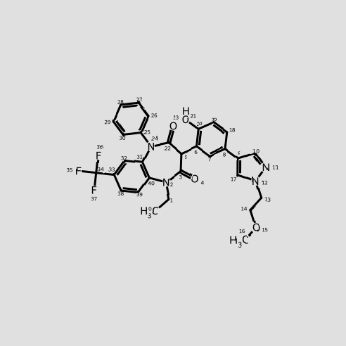 CCN1C(=O)C(c2cc(-c3cnn(CCOC)c3)ccc2O)C(=O)N(c2ccccc2)c2cc(C(F)(F)F)ccc21